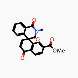 COC(=O)c1ccc2c(c1)C1(C=CC2=O)C(=O)N(C)C(=O)c2ccccc21